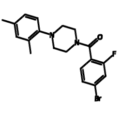 Cc1ccc(N2CCN(C(=O)c3ccc(Br)cc3F)CC2)c(C)c1